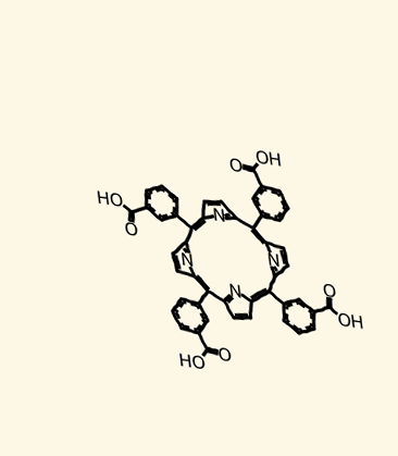 O=C(O)c1cccc(C2=C3C=CC(=N3)C(c3cccc(C(=O)O)c3)=C3C=CC(=N3)C(c3cccc(C(=O)O)c3)=C3C=CC(=N3)C(c3cccc(C(=O)O)c3)=C3C=CC2=N3)c1